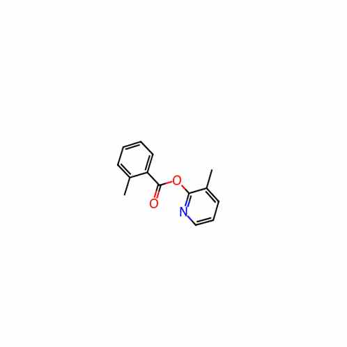 Cc1ccccc1C(=O)Oc1ncccc1C